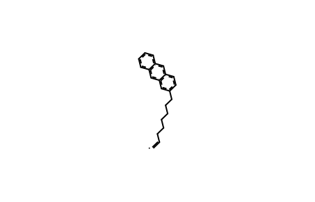 [CH]=CCCCCCCc1ccc2cc3ccccc3cc2c1